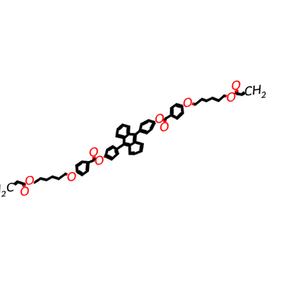 C=CC(=O)OCCCCCCOc1ccc(C(=O)Oc2ccc(-c3c4ccccc4c(-c4ccc(OC(=O)c5ccc(OCCCCCCOC(=O)C=C)cc5)cc4)c4ccccc34)cc2)cc1